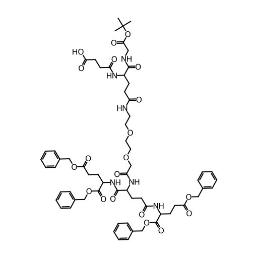 CC(C)(C)OC(=O)CNC(=O)C(CCC(=O)NCCOCCOCC(=O)NC(CCC(=O)NC(CCC(=O)OCc1ccccc1)C(=O)OCc1ccccc1)C(=O)NC(CCC(=O)OCc1ccccc1)C(=O)OCc1ccccc1)NC(=O)CCC(=O)O